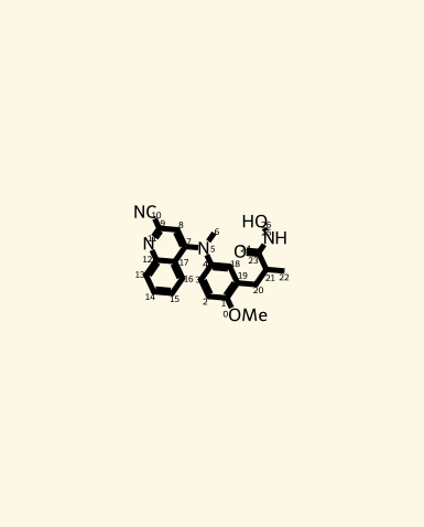 COc1ccc(N(C)c2cc(C#N)nc3ccccc23)cc1CC(C)C(=O)NO